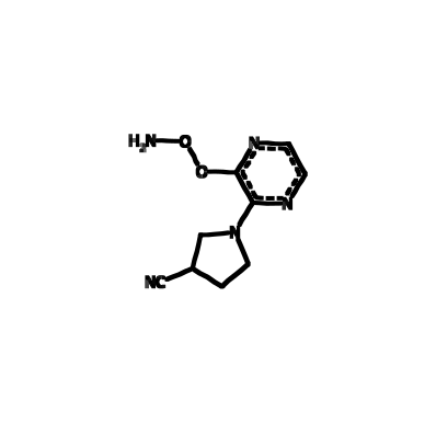 N#CC1CCN(c2nccnc2OON)C1